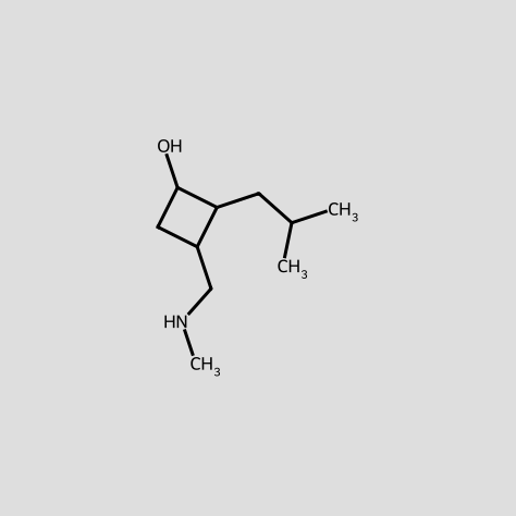 CNCC1CC(O)C1CC(C)C